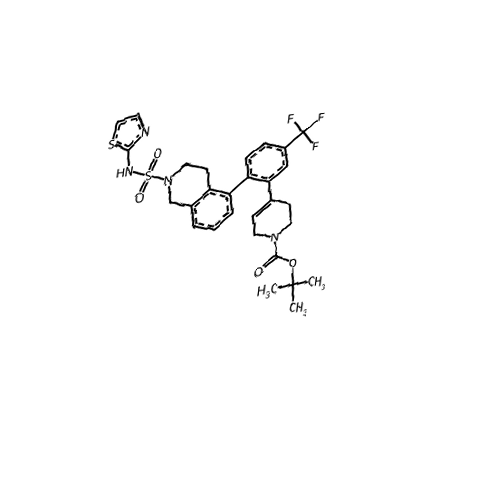 CC(C)(C)OC(=O)N1CC=C(c2cc(C(F)(F)F)ccc2-c2cccc3c2CCN(S(=O)(=O)Nc2nccs2)C3)CC1